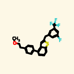 COCCc1ccc(-c2cccc3sc(Cc4cc(F)cc(C(F)(F)F)c4)cc23)cc1